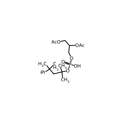 CC(=O)OCC(COP(=O)(O)OC(C)(C)CC(C)(C)C(C)C)OC(C)=O